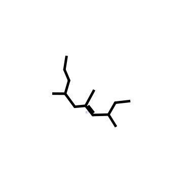 CCCC(C)C/C(C)=C/C(C)CC